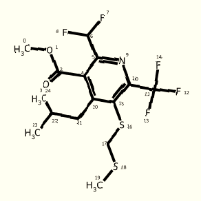 COC(=O)c1c(C(F)F)nc(C(F)(F)F)c(SCSC)c1CC(C)C